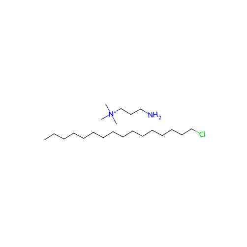 CCCCCCCCCCCCCCCCCl.C[N+](C)(C)CCCN